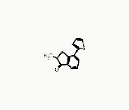 CC1Cc2c(cccc2-c2cccs2)C1=O